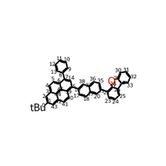 CC(C)(C)c1cc2ccc3c(-c4ccccc4)cc(-c4ccc5cc(-c6cccc7c6oc6ccccc67)ccc5c4)c4ccc(c1)c2c34